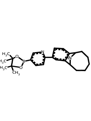 CC1(C)OB(c2ccc(-c3ccc4c(c3)C3CCCCCC4N3)nc2)OC1(C)C